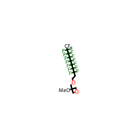 COC1(COCCC(F)(F)C(F)(F)C(F)(F)C(F)(F)C(F)(F)C(F)(F)C(F)(F)C(F)(F)F)COC1